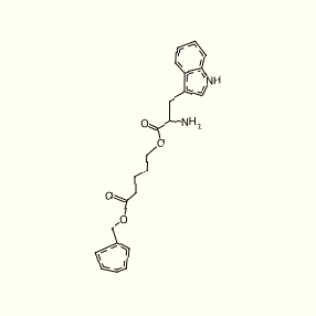 NC(Cc1c[nH]c2ccccc12)C(=O)OCCCCC(=O)OCc1ccccc1